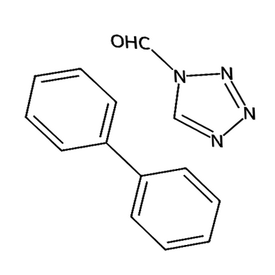 O=Cn1cnnn1.c1ccc(-c2ccccc2)cc1